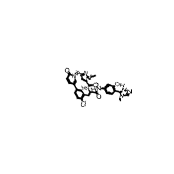 CC(C)n1cc(-c2ccc(Cl)c(CC(NC(=O)c3ccnn3C)C(=O)Nc3ccc(-c4nncn4C)c(O)c3)c2)ccc1=O